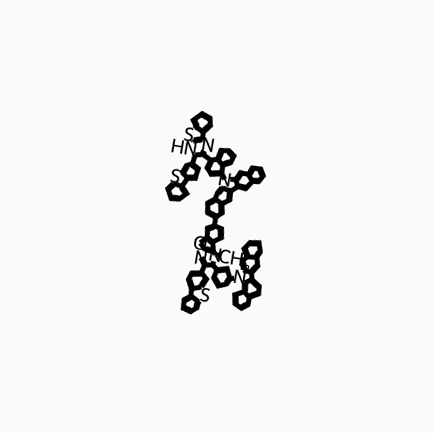 CN1c2c(oc3cc(-c4ccc5cc6c(cc5c4)c4cc5ccccc5cc4n6-c4ccc(C5=Nc6c(sc7ccccc67)NC5c5ccc6c(c5)sc5ccccc56)c5ccccc45)ccc23)N=C(c2ccc3c(c2)sc2ccccc23)C1c1cccc(-n2c3cc4ccccc4cc3c3ccc4ccccc4c32)c1